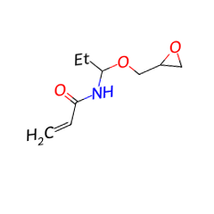 C=CC(=O)NC(CC)OCC1CO1